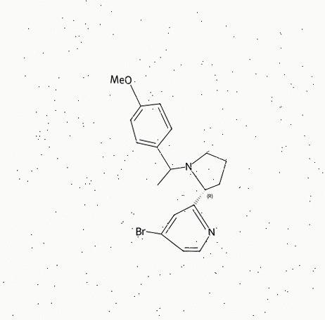 COc1ccc(C(C)N2CCC[C@@H]2c2cc(Br)ccn2)cc1